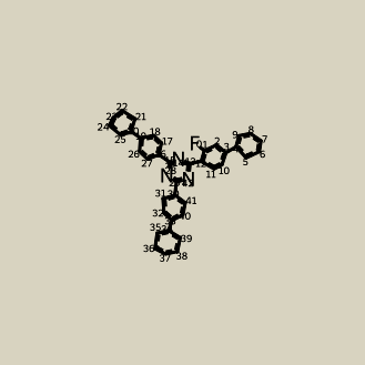 Fc1cc(-c2ccccc2)ccc1-c1nc(-c2ccc(-c3ccccc3)cc2)nc(-c2ccc(-c3ccccc3)cc2)n1